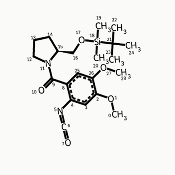 COc1cc(N=C=O)c(C(=O)N2CCC[C@H]2CO[Si](C)(C)C(C)(C)C)cc1OC